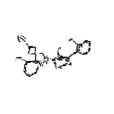 Fc1ccccc1-c1nnc(NC[C@]2(c3ncccc3F)C[C@H](F)C2)s1